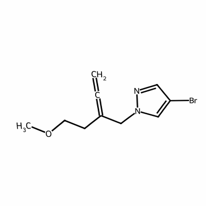 C=C=C(CCOC)Cn1cc(Br)cn1